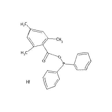 Cc1cc(C)c(C(=O)OP(c2ccccc2)c2ccccc2)c(C)c1.I